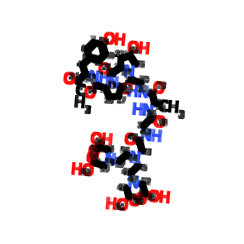 CC(=O)C(Cc1ccc(O)cc1)NC(=O)C1CCCN1C(=O)C1C[C@H](O)CN1C(=O)CNC(=O)C(C)NC(=O)CNC(=O)CN(CCN(CC(=O)O)CC(=O)O)CCN(CC(=O)O)CC(=O)O